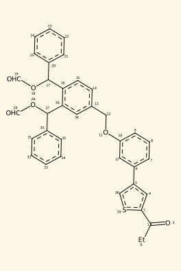 CCC(=O)c1cc(-c2cccc(OCc3ccc(C(OC=O)c4ccccc4)c(C(OC=O)c4ccccc4)c3)c2)cs1